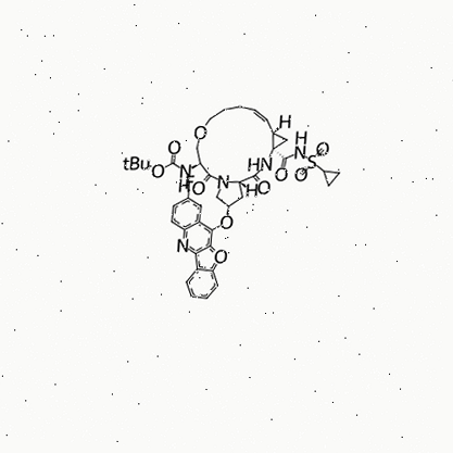 CC(C)(C)OC(=O)N[C@H]1COCCC/C=C\[C@@H]2C[C@@]2(C(=O)NS(=O)(=O)C2CC2)NC(=O)[C@@H]2C[C@@H](Oc3c4cc(F)ccc4nc4c3oc3ccccc34)CN2C1=O